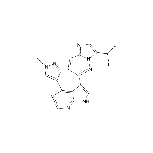 Cn1cc(-c2ncnc3[nH]cc(-c4ccc5ncc(C(F)F)n5n4)c23)cn1